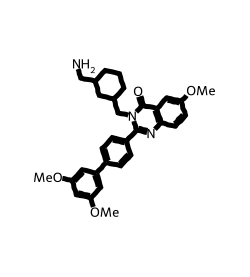 COc1cc(OC)cc(-c2ccc(-c3nc4ccc(OC)cc4c(=O)n3CC3CCCC(CN)C3)cc2)c1